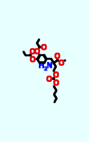 CCCCCOC(=O)OCC[C@@](N)(Cc1ccc(OC(=O)CC)c(OC(=O)CC)c1)C(=O)OC